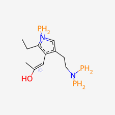 CCc1c(/C=C(\C)O)c(CCN(P)P)cn1P